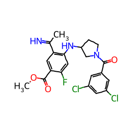 COC(=O)c1cc(C(C)=N)c(NC2CCN(C(=O)c3cc(Cl)cc(Cl)c3)C2)cc1F